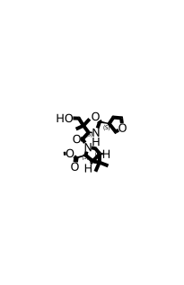 COC(=O)[C@@H]1[C@@H]2[C@H](CN1C(=O)[C@@H](NC(=O)[C@H]1CCOC1)C(C)(C)CO)C2(C)C